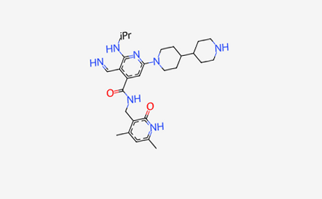 Cc1cc(C)c(CNC(=O)c2cc(N3CCC(C4CCNCC4)CC3)nc(NC(C)C)c2C=N)c(=O)[nH]1